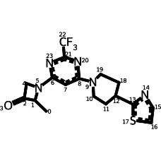 CC1C(=O)CN1c1cc(N2CCC(c3nccs3)CC2)nc(C(F)(F)F)n1